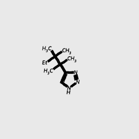 CCC(C)(C)C(C)(C)c1c[nH]nn1